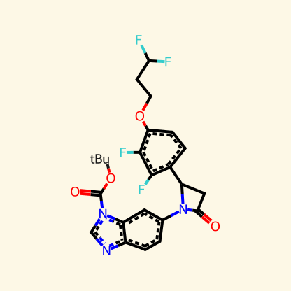 CC(C)(C)OC(=O)n1cnc2ccc(N3C(=O)CC3c3ccc(OCCC(F)F)c(F)c3F)cc21